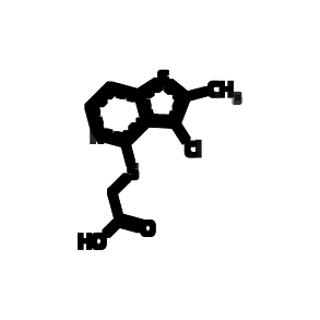 Cc1sc2ccnc(SCC(=O)O)c2c1Cl